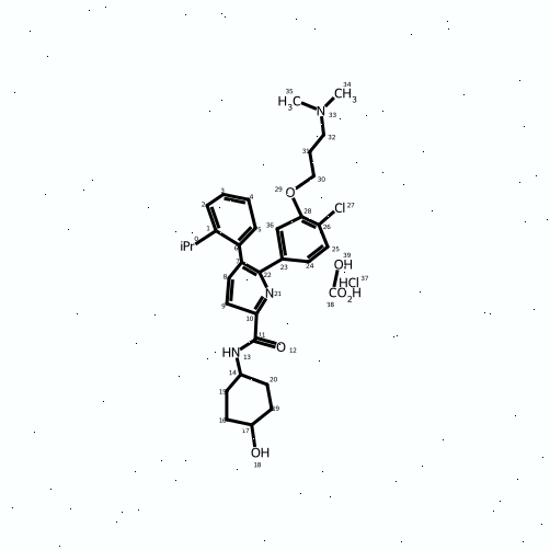 CC(C)c1ccccc1-c1ccc(C(=O)NC2CCC(O)CC2)nc1-c1ccc(Cl)c(OCCCN(C)C)c1.Cl.O=C(O)O